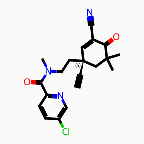 C#C[C@@]1(CCN(C)C(=O)c2ccc(Cl)cn2)C=C(C#N)C(=O)C(C)(C)C1